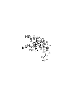 CCCCCCN(N=[N+]=[N-])C(=O)C1C[C@H](O)CC2=CC[C@H]3[C@@H]4CC[C@H]([C@H](C)CCCC(C)C)[C@@]4(C)CC[C@@H]3[C@]21C